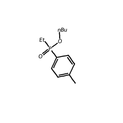 CCCCOP(=O)(CC)c1ccc(C)cc1